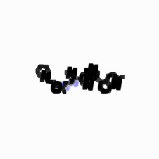 C=N/C(=C\C=C(/C)OCCN1CCCCC1)c1cnc2c(-c3cccc4nc(C)ccc34)cnn2c1